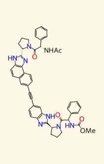 COC(=O)NC(C(=O)N1CCC[C@H]1c1nc2ccc(C#Cc3ccc4c(ccc5[nH]c([C@@H]6CCCN6C(=O)[C@@H](NC(C)=O)c6ccccc6)nc54)c3)cc2[nH]1)c1ccccc1